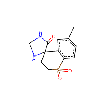 Cc1ccc2c(c1)C1(CCS2(=O)=O)NCNC1=O